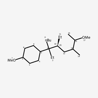 CCCCC(CC)(C1CCC(OC)CC1)[C@@H](CC)CC(C)C(C)OC